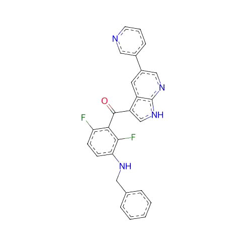 O=C(c1c(F)ccc(NCc2ccccc2)c1F)c1c[nH]c2ncc(-c3cccnc3)cc12